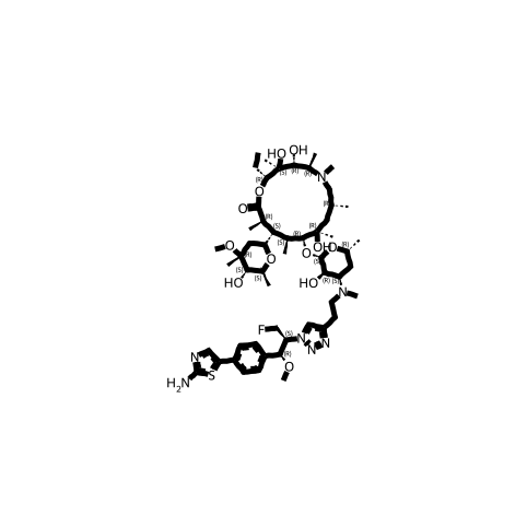 CC[C@H]1OC(=O)[C@H](C)[C@@H](C2C[C@@](C)(OC)[C@@H](O)[C@H](C)O2)[C@H](C)[C@@H](O[C@@H]2O[C@H](C)C[C@H](N(C)CCc3cn([C@H](CF)[C@H](OC)c4ccc(-c5cnc(N)s5)cc4)nn3)[C@H]2O)[C@](C)(O)C[C@@H](C)CN(C)[C@H](C)[C@@H](O)[C@]1(C)O